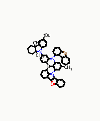 Cc1cc2c3c(c1)-n1c4c(cccc4c4oc5ccccc5c41)B3c1ccc(N3c4ccc(C(C)(C)C)cc4C4(C)CCCCC34C)cc1N2c1cccc2sc3ccccc3c12